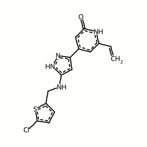 C=Cc1cc(-c2cc(NCc3ccc(Cl)s3)[nH]n2)cc(=O)[nH]1